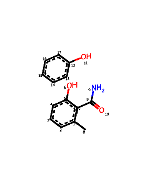 Cc1cccc(O)c1C(N)=O.Oc1ccccc1